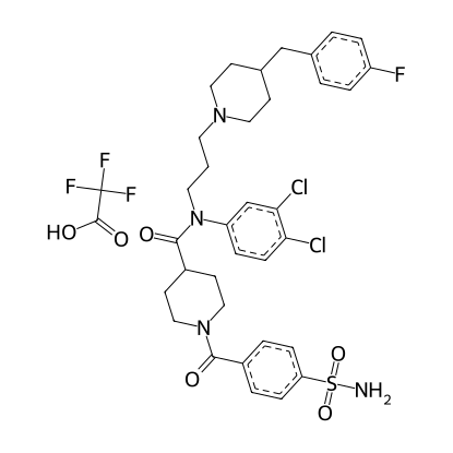 NS(=O)(=O)c1ccc(C(=O)N2CCC(C(=O)N(CCCN3CCC(Cc4ccc(F)cc4)CC3)c3ccc(Cl)c(Cl)c3)CC2)cc1.O=C(O)C(F)(F)F